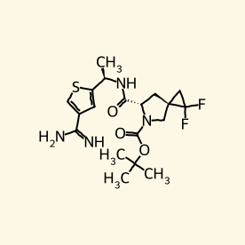 C[C@@H](NC(=O)[C@@H]1C[C@@]2(CN1C(=O)OC(C)(C)C)CC2(F)F)c1cc(C(=N)N)cs1